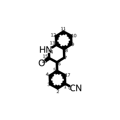 N#Cc1cccc(C2Cc3ccccc3NC2=O)c1